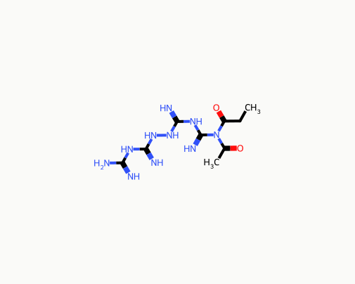 CCC(=O)N(C(=N)NC(=N)NNC(=N)NC(=N)N)C(C)=O